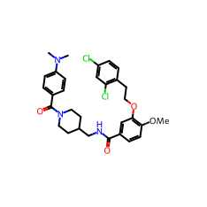 COc1ccc(C(=O)NCC2CCN(C(=O)c3ccc(N(C)C)cc3)CC2)cc1OCCc1ccc(Cl)cc1Cl